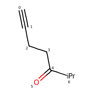 C#CCCC(=O)C(C)C